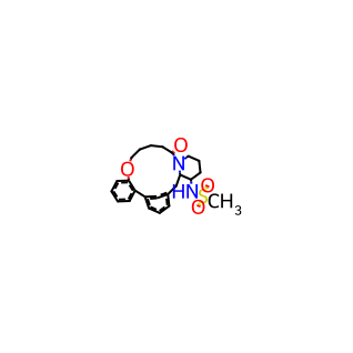 CS(=O)(=O)NC1CCCN2C(=O)CCCCOc3ccccc3-c3cccc(c3)CC12